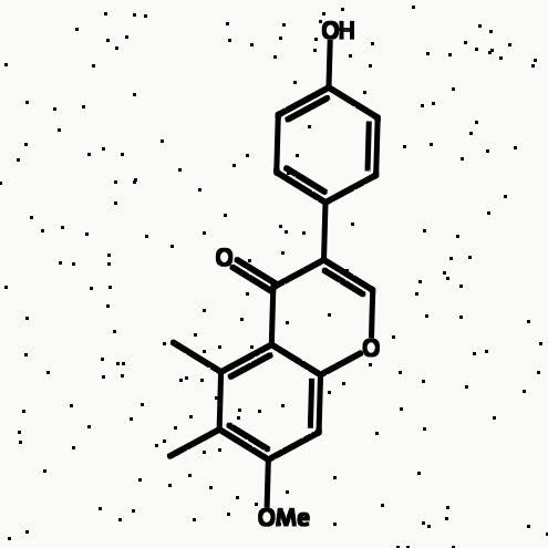 COc1cc2occ(-c3ccc(O)cc3)c(=O)c2c(C)c1C